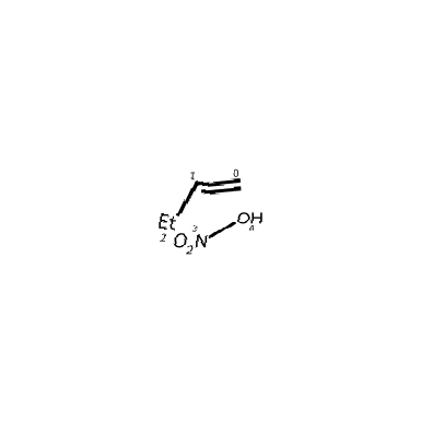 C=CCC.O=[N+]([O-])O